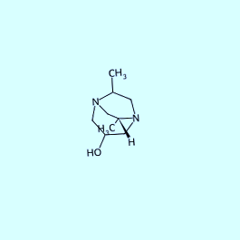 CC1CN2CC(O)CN1C[C@H]2C